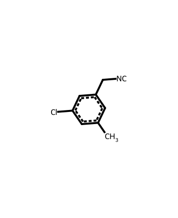 [C-]#[N+]Cc1cc(C)cc(Cl)c1